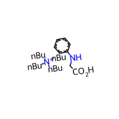 CCCC[N+](CCCC)(CCCC)CCCC.O=C(O)CNc1ccccc1